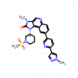 Cn1cc(-c2ccc(-c3ccc4ncc5c(c4c3)n([C@@H]3CCCN(S(C)(=O)=O)C3)c(=O)n5C)cn2)cn1